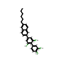 CCCCCCc1ccc2cc(-c3cc(F)c(-c4ccc(F)c(F)c4)c(F)c3)ccc2c1